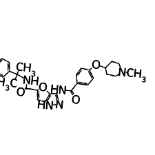 CN1CCC(Oc2ccc(C(=O)Nc3n[nH]c4cc(C(=O)NC(C)(C)c5ccccc5)oc34)cc2)CC1